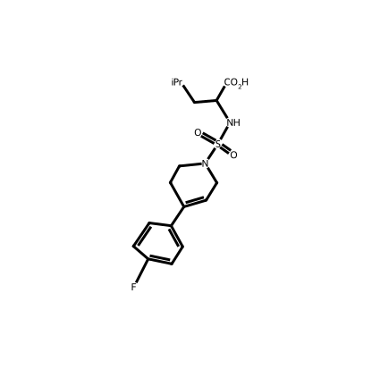 CC(C)CC(NS(=O)(=O)N1CC=C(c2ccc(F)cc2)CC1)C(=O)O